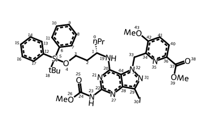 CCC[C@@H](CCO[Si](c1ccccc1)(c1ccccc1)C(C)(C)C)Nc1nc(NC(=O)OC)nc2c(I)nn(Cc3nc(C(=O)OC)ccc3OC)c12